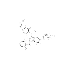 CCCS(=O)(=O)Nc1c(F)ccc(C(=O)c2cn(C(=O)c3c(Cl)cccc3Cl)c3ncc(B4OC(C)(C)C(C)(C)O4)cc23)c1F